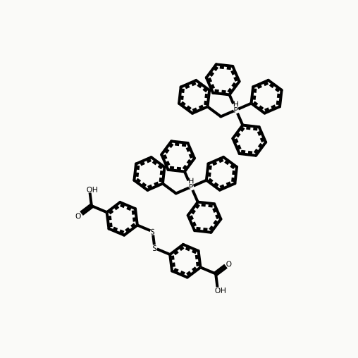 O=C(O)c1ccc(SSc2ccc(C(=O)O)cc2)cc1.c1ccc(C[PH](c2ccccc2)(c2ccccc2)c2ccccc2)cc1.c1ccc(C[PH](c2ccccc2)(c2ccccc2)c2ccccc2)cc1